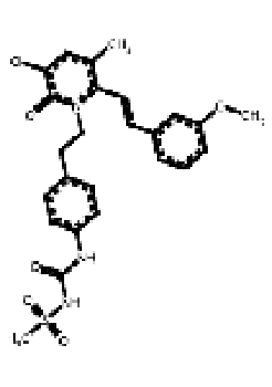 COc1cccc(/C=C/c2c(C)cc(Cl)c(=O)n2CCc2ccc(NC(=O)NS(C)(=O)=O)cc2)c1